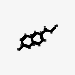 Cc1ccc2cc(OCI)ccc2c1